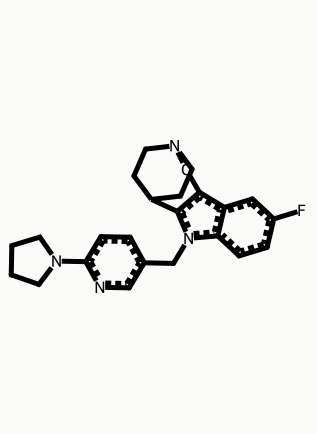 Fc1ccc2c(c1)c1c(n2Cc2ccc(N3CCCC3)nc2)C2CCN(CC2)C1